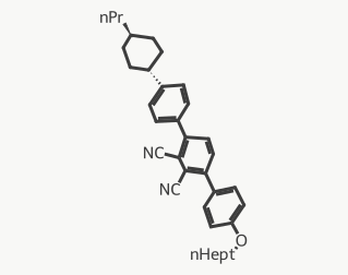 CCCCCCCOc1ccc(-c2ccc(-c3ccc([C@H]4CC[C@H](CCC)CC4)cc3)c(C#N)c2C#N)cc1